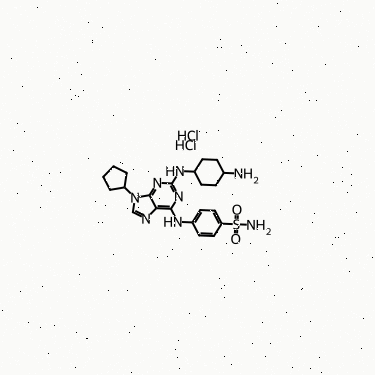 Cl.Cl.NC1CCC(Nc2nc(Nc3ccc(S(N)(=O)=O)cc3)c3ncn(C4CCCC4)c3n2)CC1